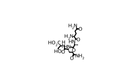 C[C@H](NC(=O)[C@@H](N)CCC(N)=O)C(=O)N[C@@H](CCC(N)=O)C(=O)N[C@@H](CO)C(=O)O